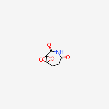 O=C1CCC23OC2(O3)C(=O)N1